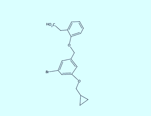 O=C(O)Cc1ccccc1OCc1cc(Br)cc(OCC2CC2)c1